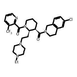 CCN1CCN(CC[C@@H]2[C@H](C(=O)N3CCc4cc(Cl)ccc4C3)CCCN2C(=O)c2ncccc2C(F)(F)F)CC1